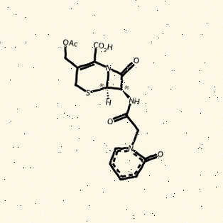 CC(=O)OCC1=C(C(=O)O)N2C(=O)[C@@H](NC(=O)Cn3ccccc3=O)[C@H]2SC1